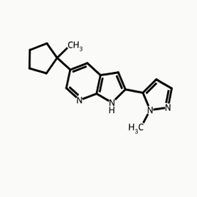 Cn1nccc1-c1cc2cc(C3(C)CCCC3)cnc2[nH]1